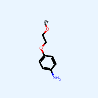 CC(C)OCCOc1ccc(N)cc1